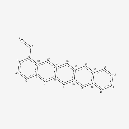 O=Cc1cccc2cc3cc4cc5ccccc5cc4cc3cc12